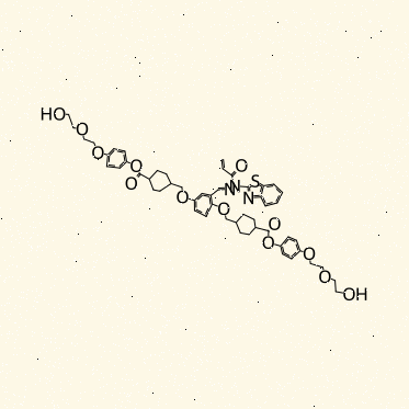 C=CC(=O)N(/N=C/c1cc(OCC2CCC(C(=O)Oc3ccc(OCCOCCO)cc3)CC2)ccc1OCC1CCC(C(=O)Oc2ccc(OCCOCCO)cc2)CC1)c1nc2ccccc2s1